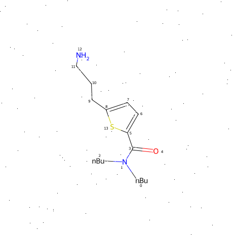 CCCCN(CCCC)C(=O)c1ccc(CCCN)s1